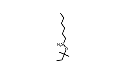 CCCCCC[SiH2]OC(C)(C)CC